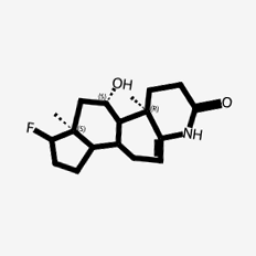 C[C@]12C[C@H](O)C3C(CC=C4NC(=O)CC[C@@]43C)C1CCC2F